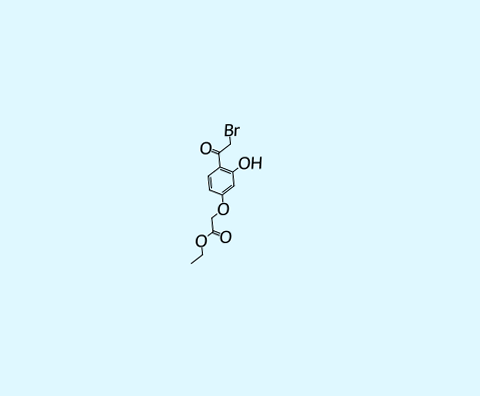 CCOC(=O)COc1ccc(C(=O)CBr)c(O)c1